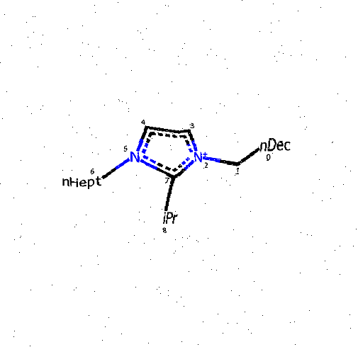 CCCCCCCCCCC[n+]1ccn(CCCCCCC)c1C(C)C